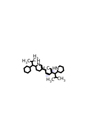 C/C=C(\C=C/CC1=CNC(C(C(C)C)C2CCCCC2)CC1)C(C(C)C)C1CCCCN1